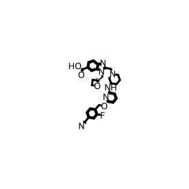 N#Cc1ccc(COc2cccc(NC3CCCN(Cc4nc5ccc(C(=O)O)cc5n4C[C@@H]4CCO4)C3)n2)c(F)c1